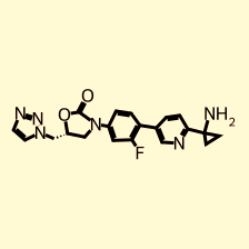 NC1(c2ccc(-c3ccc(N4C[C@H](Cn5ccnn5)OC4=O)cc3F)cn2)CC1